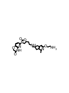 Cc1nc(OCCN)cc2c1CC(CNCCC1CN(c3ccc4c(n3)NC(=O)CO4)C(=O)O1)C2